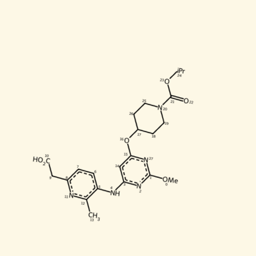 COc1nc(Nc2ccc(CC(=O)O)nc2C)cc(OC2CCN(C(=O)OC(C)C)CC2)n1